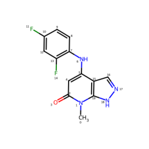 Cn1c(=O)cc(Nc2ccc(F)cc2F)c2cn[nH]c21